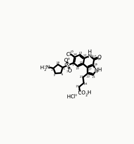 Cl.NC1CCC(S(=O)(=O)c2cc3c(cc2Cl)[nH]c(=O)c2[nH]cc(CCCC(=O)O)c23)C1